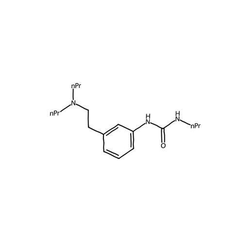 CCCNC(=O)Nc1cccc(CCN(CCC)CCC)c1